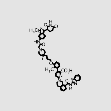 Cc1c(OCCCC2(F)CCN(CC(=O)Nc3ccc4c(C5CCC(=O)NC5=O)nn(C)c4c3)CC2)cccc1-c1ccc(N2CCc3cccc(C(=O)Nc4nc5ccccc5s4)c3C2)nc1C(=O)O